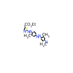 C=Nc1ccc(/N=N/c2ccc(/N=N/c3ncc(CC(=O)OCC)s3)c(C)c2)c(C)c1